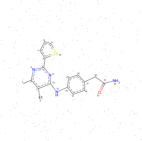 CCc1c(C)nc(-c2cccs2)nc1Nc1ccc(CC(N)=O)cc1